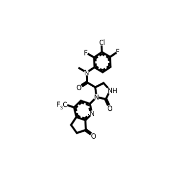 CN(C(=O)C1CNC(=O)N1c1cc(C(F)(F)F)c2c(n1)C(=O)CC2)c1ccc(F)c(Cl)c1F